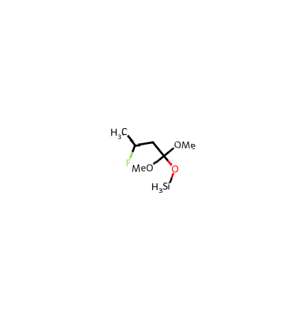 COC(CC(C)F)(OC)O[SiH3]